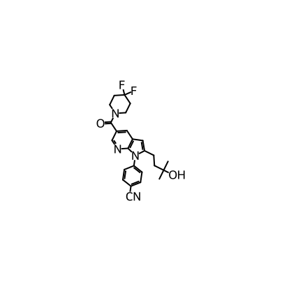 CC(C)(O)CCc1cc2cc(C(=O)N3CCC(F)(F)CC3)cnc2n1-c1ccc(C#N)cc1